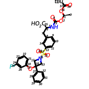 C[C@@H](OC(=O)N[C@@H](Cc1cccc(S(=O)(=O)N2CC(Oc3cccc(F)c3)(c3ccccc3)C2)c1)C(=O)O)OC(=O)C(C)(C)C